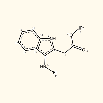 CCNc1c(CC(=O)OC(C)C)[nH]c2ccccc12